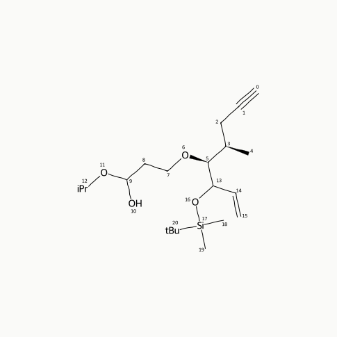 C#CC[C@@H](C)[C@H](OCCC(O)OC(C)C)C(C=C)O[Si](C)(C)C(C)(C)C